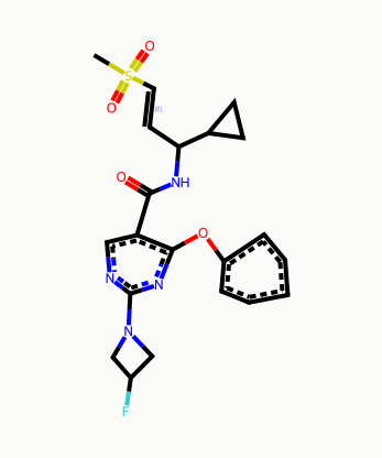 CS(=O)(=O)/C=C/C(NC(=O)c1cnc(N2CC(F)C2)nc1Oc1ccccc1)C1CC1